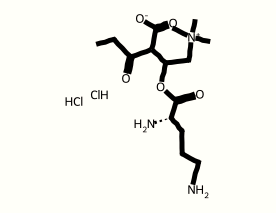 CCC(=O)C(C(=O)[O-])C(C[N+](C)(C)C)OC(=O)[C@@H](N)CCCN.Cl.Cl